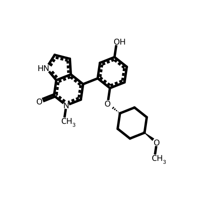 CO[C@H]1CC[C@H](Oc2ccc(O)cc2-c2cn(C)c(=O)c3[nH]ccc23)CC1